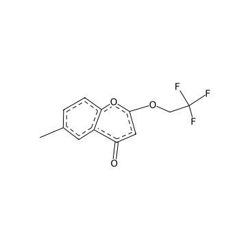 Cc1ccc2oc(OCC(F)(F)F)cc(=O)c2c1